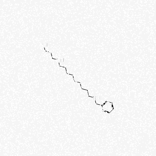 [SiH3]CCCNCCCCCCCCCNCc1ccccc1